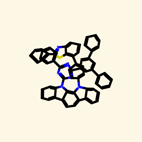 c1ccc(-c2cc(-c3ccccc3)cc(-c3nc(-c4ccccc4)nc(-n4c5ccccc5c5ccc6c7ccccc7n(-c7ccc(-c8cccc9nc(-c%10ccccc%10)sc89)cc7)c6c54)n3)c2)cc1